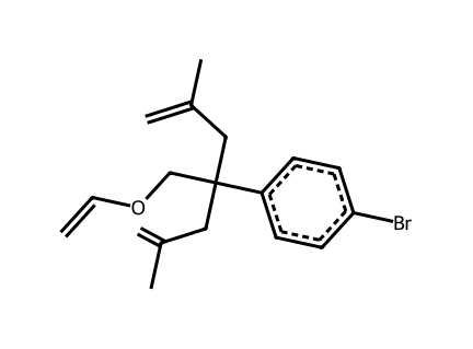 C=COCC(CC(=C)C)(CC(=C)C)c1ccc(Br)cc1